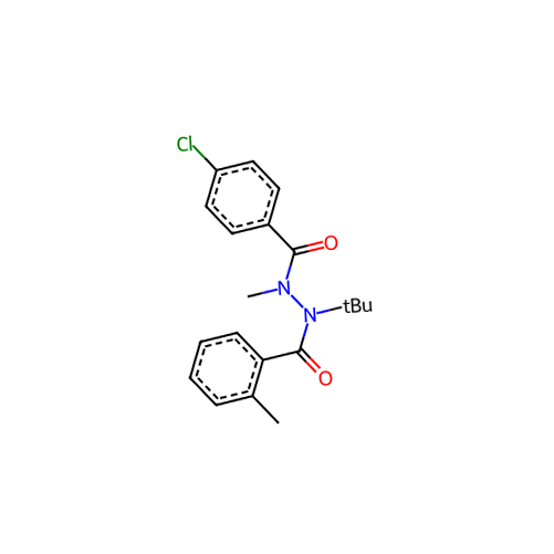 Cc1ccccc1C(=O)N(N(C)C(=O)c1ccc(Cl)cc1)C(C)(C)C